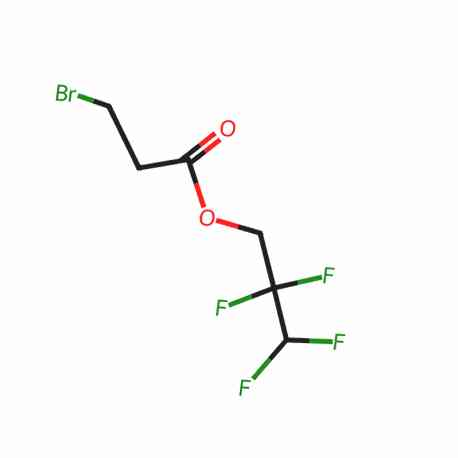 O=C(CCBr)OCC(F)(F)C(F)F